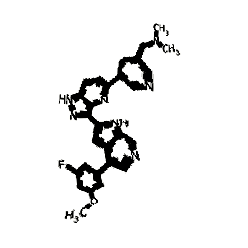 COc1cc(F)cc(-c2cncc3[nH]c(-c4n[nH]c5ccc(-c6cncc(CN(C)C)c6)nc45)cc23)c1